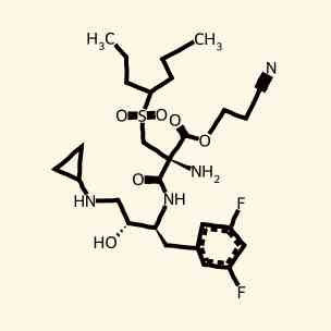 CCCC(CCC)S(=O)(=O)C[C@@](N)(C(=O)N[C@@H](Cc1cc(F)cc(F)c1)[C@H](O)CNC1CC1)C(=O)OCCC#N